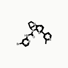 Cc1cc(-c2ccc3c(n2)N(C(=O)Nc2cc(Br)ccn2)C2CCN3C2)ccn1